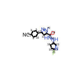 Cn1nc(-c2ccc(C#N)cc2)cc1C(=O)NNc1ccc(F)nc1